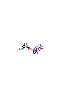 Nc1ccc(Cl)c(OCCOCCNc2cccc3c2C(=O)N(C2CCC(=O)NC2=O)C3=O)c1